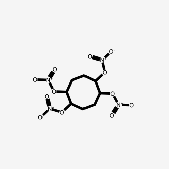 O=[N+]([O-])OC1CCC(O[N+](=O)[O-])C(O[N+](=O)[O-])CCC1O[N+](=O)[O-]